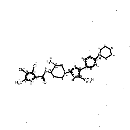 Cc1[nH]c(C(=O)N[C@@H]2CCN(c3nc(-c4cnc(N5CCCCC5)cn4)c(C(=O)O)s3)C[C@@H]2C)c(Cl)c1Cl